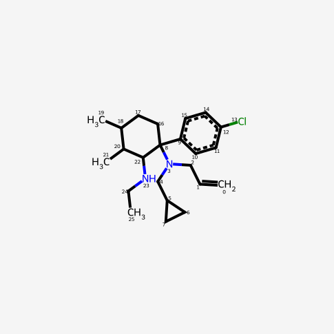 C=CCN(CC1CC1)C1(c2ccc(Cl)cc2)CCC(C)C(C)C1NCC